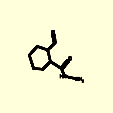 NNC(=O)C1CCCCN1C=O